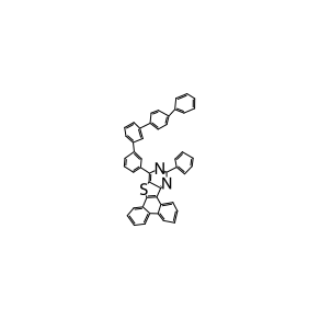 c1ccc(-c2ccc(-c3cccc(-c4cccc(-c5nc(-c6ccccc6)nc6c5sc5c7ccccc7c7ccccc7c65)c4)c3)cc2)cc1